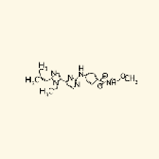 CCn1c(-c2ccnc(Nc3ccc(S(=O)(=O)NCCOC)cc3)n2)cnc1C=C(C)C